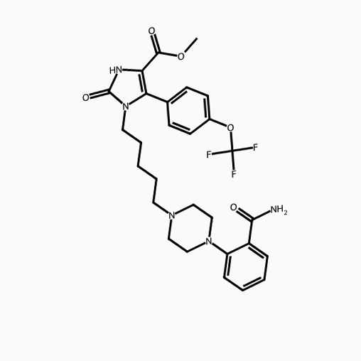 COC(=O)c1[nH]c(=O)n(CCCCCN2CCN(c3ccccc3C(N)=O)CC2)c1-c1ccc(OC(F)(F)F)cc1